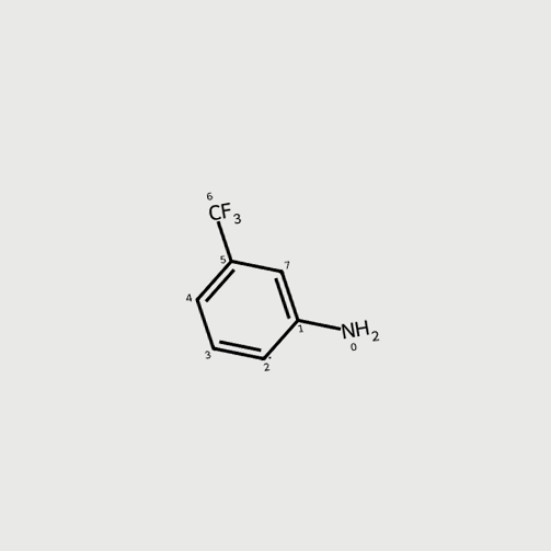 Nc1[c]ccc(C(F)(F)F)c1